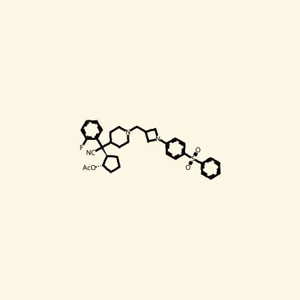 CC(=O)O[C@H]1CCC[C@@H]1C(C#N)(c1ccccc1F)C1CCN(CC2CN(c3ccc(S(=O)(=O)c4ccccc4)cc3)C2)CC1